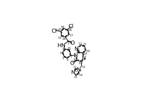 O=C(Nc1cccc(-n2c(=O)c(Cn3ccnc3)nc3cccnc32)c1)c1cc(Cl)cc(Cl)c1